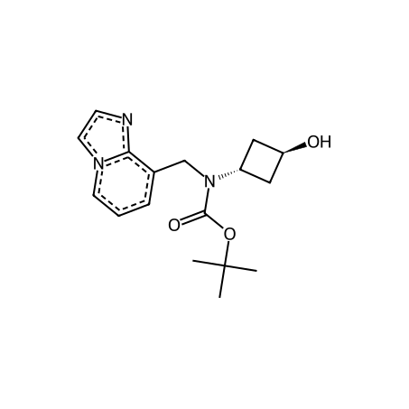 CC(C)(C)OC(=O)N(Cc1cccn2ccnc12)[C@H]1C[C@H](O)C1